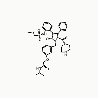 CCCS(=O)(=O)Nc1ccccc1-n1c(-c2ccccc2)c(C(=O)N2CCNCC2)n(Cc2cccc(OCC(=O)NC(C)C)c2)c1=O